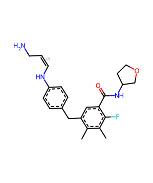 Cc1c(Cc2ccc(N/C=C\CN)cc2)cc(C(=O)NC2CCOC2)c(F)c1C